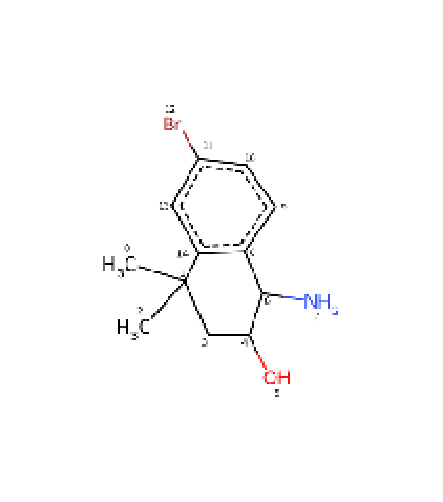 CC1(C)CC(O)C(N)c2ccc(Br)cc21